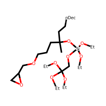 CCCCCCCCCCCCC(C)(CCCOCC1CO1)O[Si](OCC)(OCC)OCC(OCC)(OCC)OCC